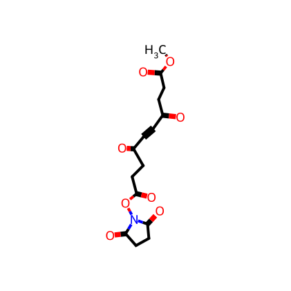 COC(=O)CCC(=O)C#CC(=O)CCC(=O)ON1C(=O)CCC1=O